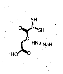 O=C(O)COC(=O)N(S)S.[NaH].[NaH]